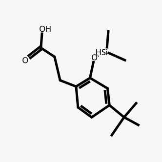 C[SiH](C)Oc1cc(C(C)(C)C)ccc1CCC(=O)O